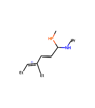 CC/C=C(/C=CC(NC(C)C)PC)CC